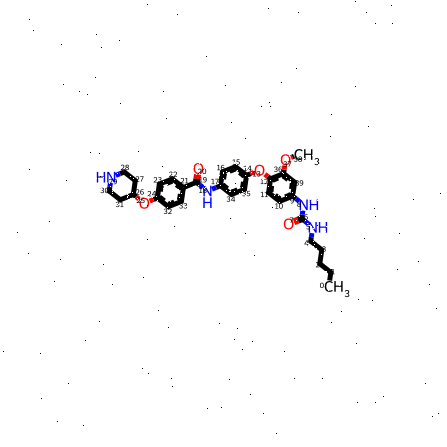 CCCCCNC(=O)Nc1ccc(Oc2ccc(NC(=O)c3ccc(OC4CCNCC4)cc3)cc2)c(OC)c1